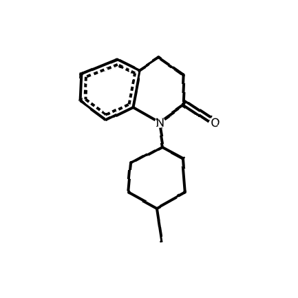 CC1CCC(N2C(=O)CCc3ccccc32)CC1